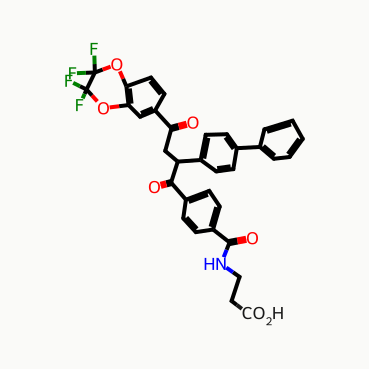 O=C(O)CCNC(=O)c1ccc(C(=O)C(CC(=O)c2ccc3c(c2)OC(F)(F)C(F)(F)O3)c2ccc(-c3ccccc3)cc2)cc1